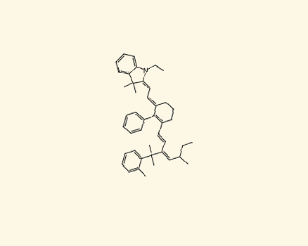 CCC(C)/C=C(\C=C\C1=C(c2ccccc2)C(=C/C=C2/N(CC)c3ccccc3C2(C)C)/CCC1)C(C)(C)c1ccccc1C